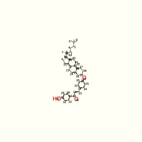 CC(C)CCC[C@@H](C)[C@H]1CCC2C3CC=C4CC(Oc5ccc(C=CC(=O)c6ccc(O)cc6)cc5)CC[C@]4(C)C3CC[C@@]21C